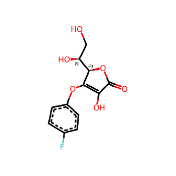 O=C1O[C@H]([C@@H](O)CO)C(Oc2ccc(F)cc2)=C1O